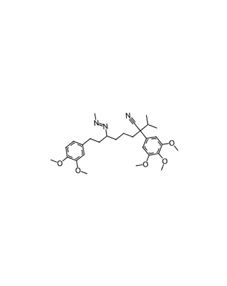 CN=NC(CCCC(C#N)(c1cc(OC)c(OC)c(OC)c1)C(C)C)CCc1ccc(OC)c(OC)c1